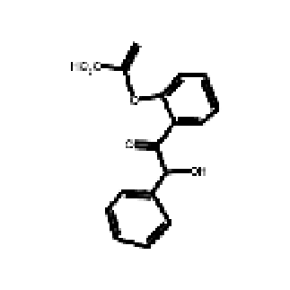 C=C(Oc1ccccc1C(=O)C(O)c1ccccc1)C(=O)O